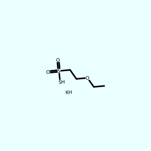 CCOCCS(=O)(=O)S.[KH]